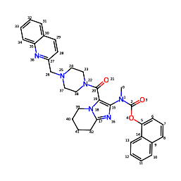 CN(C(=O)Oc1cccc2ccccc12)c1nc2n(c1C(=O)N1CCN(Cc3ccc4ccccc4n3)CC1)CCCC2